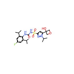 CC(C)c1cc(F)cc(C(C)C)c1NC(=O)NS(=O)(=O)c1cc(C2(O)COC2)n(C(C)C)n1